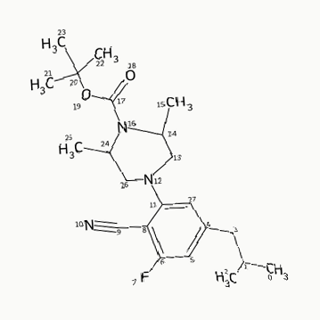 CC(C)Cc1cc(F)c(C#N)c(N2CC(C)N(C(=O)OC(C)(C)C)C(C)C2)c1